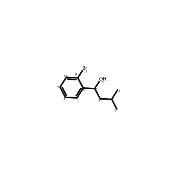 CC(C)CC(O)c1ccccc1Br